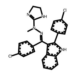 CN(N=C(c1ccc(Cl)cc1)c1c(-c2ccc(Cl)cc2)[nH]c2ccccc12)C1=NCCN1